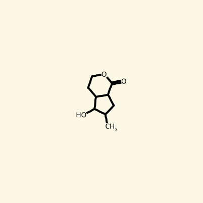 CC1CC2C(=O)OCCC2C1O